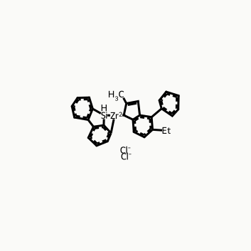 CCc1ccc2c(c1-c1ccccc1)C=C(C)[CH]2[Zr+2]1[c]2cccc3c2[SiH]1c1ccccc1-3.[Cl-].[Cl-]